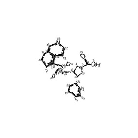 O=C(O)N1C[C@H](NS(=O)(=O)c2cccc3cnccc23)[C@@H](c2ccccc2)C1